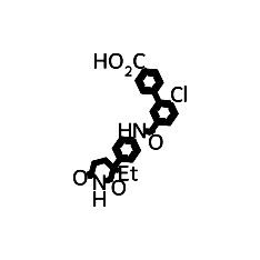 CCC1(c2ccc(NC(=O)c3ccc(Cl)c(-c4ccc(C(=O)O)cc4)c3)cc2)CCC(=O)NC1=O